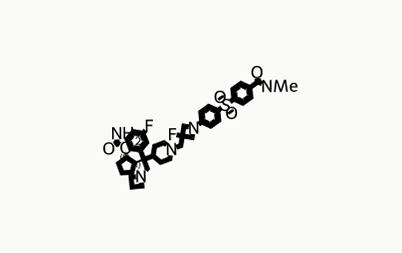 CNC(=O)c1ccc(S(=O)(=O)c2ccc(N3CC(F)(CN4CCC(C(CN5CCC5)(c5cccc(F)c5)[C@H]5CCC[C@@H]5OC(N)=O)CC4)C3)cc2)cc1